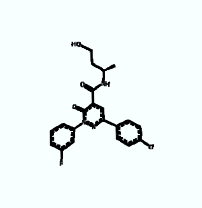 C[C@H](CCO)NC(=O)c1cc(-c2ccc(Cl)cc2)nn(-c2cccc(F)c2)c1=O